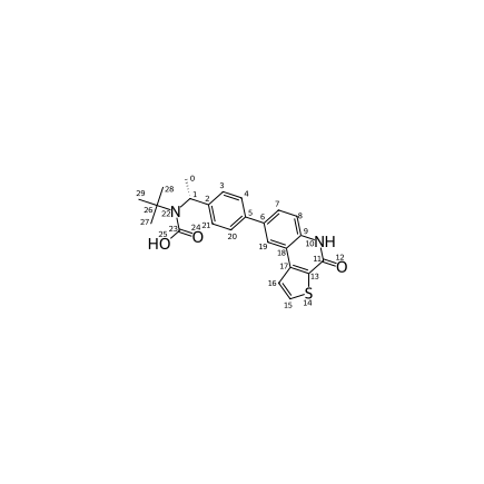 C[C@H](c1ccc(-c2ccc3[nH]c(=O)c4sccc4c3c2)cc1)N(C(=O)O)C(C)(C)C